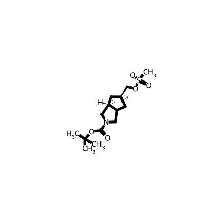 CC(C)(C)OC(=O)N1CC2C[C@H](COS(C)(=O)=O)C[C@@H]2C1